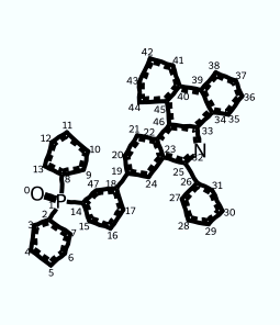 O=P(c1ccccc1)(c1ccccc1)c1cccc(-c2ccc3c(c2)c(-c2ccccc2)nc2c4ccccc4c4ccccc4c32)c1